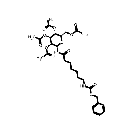 CC(=O)OC[C@H]1O[C@@H](NC(=O)CCCCCCNC(=O)OCc2ccccc2)[C@@H](OC(C)=O)[C@@H](OC(C)=O)[C@@H]1OC(C)=O